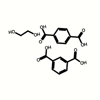 O=C(O)c1ccc(C(=O)O)cc1.O=C(O)c1cccc(C(=O)O)c1.OCCO